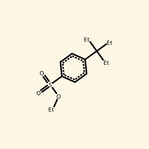 CCOS(=O)(=O)c1ccc(C(CC)(CC)CC)cc1